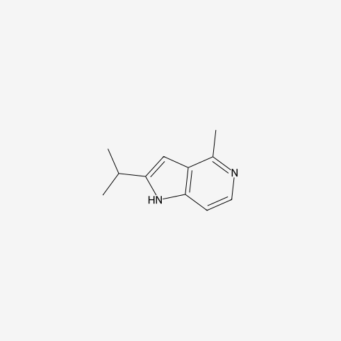 Cc1nccc2[nH]c(C(C)C)cc12